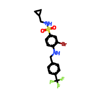 O=S(=O)(NCC1CC1)c1ccc(NCc2ccc(C(F)(F)F)cc2)c(Br)c1